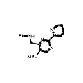 CCNCc1nc(-c2ccccn2)ncc1OC